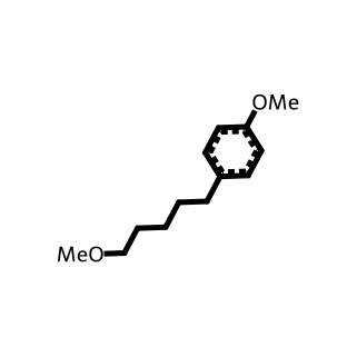 COCCCCCc1ccc(OC)cc1